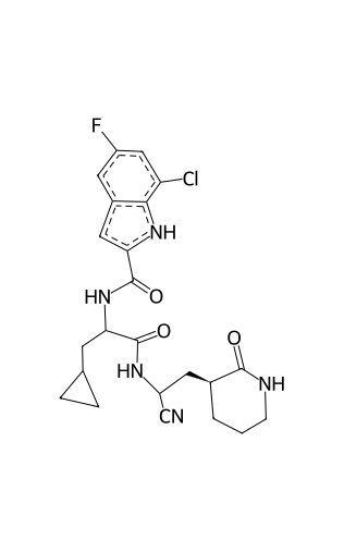 N#CC(C[C@@H]1CCCNC1=O)NC(=O)C(CC1CC1)NC(=O)c1cc2cc(F)cc(Cl)c2[nH]1